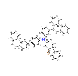 c1cc(-c2cc3ccccc3c3ccccc23)cc(N(c2ccc(-c3ccc4ccc5ccccc5c4c3)cc2)c2ccc3c(c2)sc2ccccc23)c1